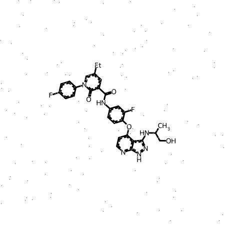 CCc1cc(C(=O)Nc2ccc(Oc3ccnc4[nH]nc(NC(C)CO)c34)c(F)c2)c(=O)n(-c2ccc(F)cc2)c1